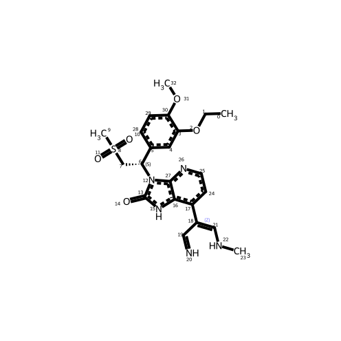 CCOc1cc([C@@H](CS(C)(=O)=O)n2c(=O)[nH]c3c(/C(C=N)=C/NC)ccnc32)ccc1OC